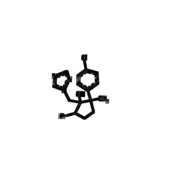 CC(C)C1CCC(C)(c2ccc(Cl)cc2)C1(O)Cn1cncn1